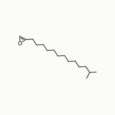 CC(C)CCCCCCCCCCCC1=CO1